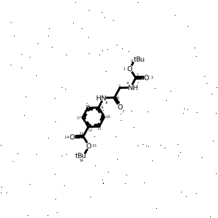 CC(C)(C)OC(=O)NCC(=O)Nc1ccc(C(=O)OC(C)(C)C)cc1